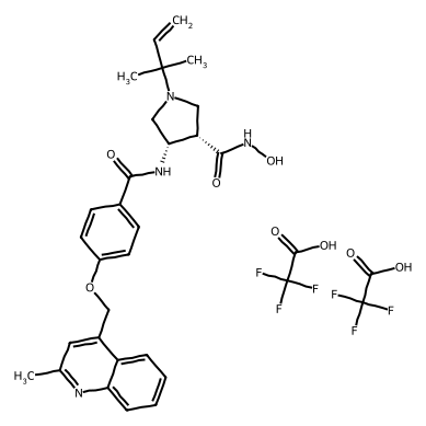 C=CC(C)(C)N1C[C@H](C(=O)NO)[C@H](NC(=O)c2ccc(OCc3cc(C)nc4ccccc34)cc2)C1.O=C(O)C(F)(F)F.O=C(O)C(F)(F)F